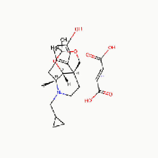 CC1(C)OC[C@]23CCN(CC4CC4)[C@H](Cc4ccc(O)cc42)[C@@H]3O1.O=C(O)/C=C/C(=O)O